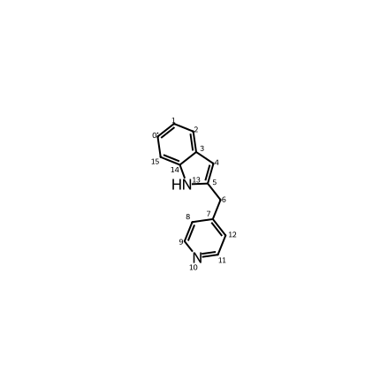 [c]1ccc2cc(Cc3ccncc3)[nH]c2c1